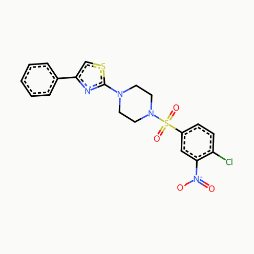 O=[N+]([O-])c1cc(S(=O)(=O)N2CCN(c3nc(-c4ccccc4)cs3)CC2)ccc1Cl